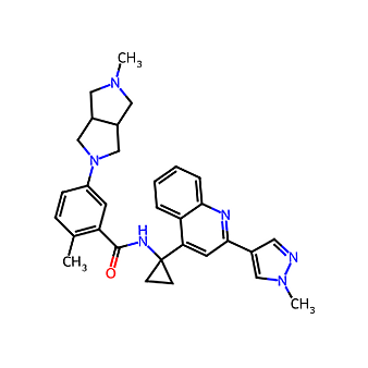 Cc1ccc(N2CC3CN(C)CC3C2)cc1C(=O)NC1(c2cc(-c3cnn(C)c3)nc3ccccc23)CC1